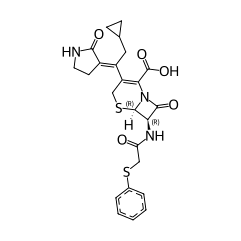 O=C(CSc1ccccc1)N[C@@H]1C(=O)N2C(C(=O)O)=C(C(CC3CC3)=C3CCNC3=O)CS[C@H]12